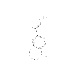 C/C(=C\C=O)c1ccc2c(c1)CCCN2C(C)C